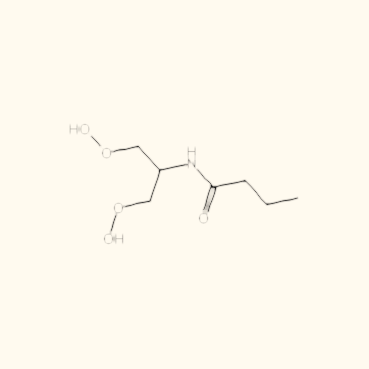 CCCC(=O)NC(COO)COO